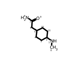 CNC1CCC(CC(N)=O)CC1